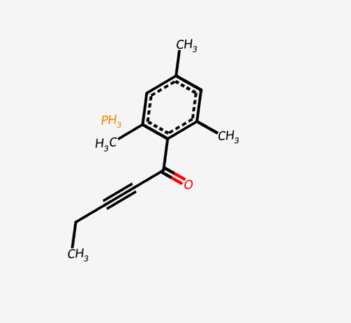 CCC#CC(=O)c1c(C)cc(C)cc1C.P